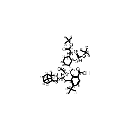 COc1c(C(=O)O)ccc(C(C)(C)C)c1C[C@H](NC(=O)[C@@H]1CC[C@H](NC(=O)OC(C)(C)C)[C@@H](NC(=O)OC(C)(C)C)C1)B1OC2CC3CC(C3(C)C)C2(C)O1